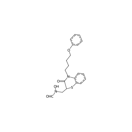 O=CN(O)CC1Sc2ccccc2N(CCCCOc2ccccc2)C1=O